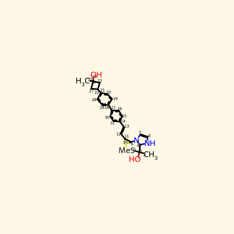 CSC(C)(O)C1NC=CN1C1SC1/C=C/c1ccc(-c2ccc(C3CC(C)(O)C3)cc2)cc1